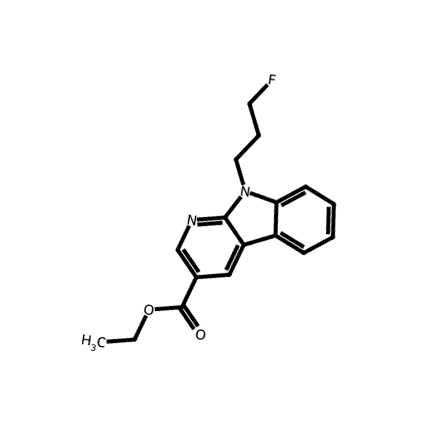 CCOC(=O)c1cnc2c(c1)c1ccccc1n2CCCF